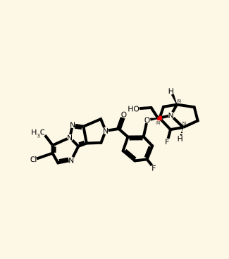 Cc1c(Cl)cnc2c3c(nn12)CN(C(=O)c1ccc(F)cc1O[C@H]1C[C@@H]2CC[C@@H](C1F)N2CCO)C3